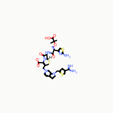 CC(C)(ON=C(C(=O)N[C@@H]1C(=O)N2C(C(=O)[O-])=C(C[n+]3ccc4ccn(Cc5cc(C(=N)N)cs5)c4c3)CS[C@H]12)c1csc(N)n1)C(=O)O